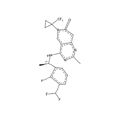 Cc1nc(N[C@H](C)c2cccc(C(F)F)c2F)c2cn(C3(C(F)(F)F)CC3)c(=O)cc2n1